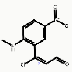 CNc1ccc([N+](=O)[O-])cc1/C(Cl)=C\C=O